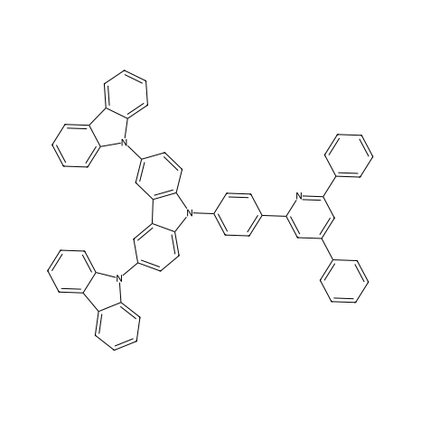 c1ccc(-c2cc(-c3ccccc3)nc(-c3ccc(-n4c5ccc(-n6c7ccccc7c7ccccc76)cc5c5cc(-n6c7ccccc7c7ccccc76)ccc54)cc3)c2)cc1